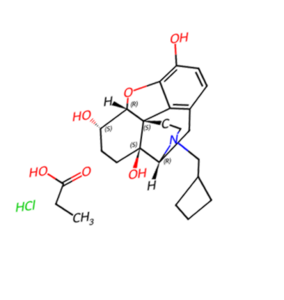 CCC(=O)O.Cl.Oc1ccc2c3c1O[C@H]1[C@@H](O)CC[C@@]4(O)[C@@H](C2)N(CC2CCC2)CC[C@]314